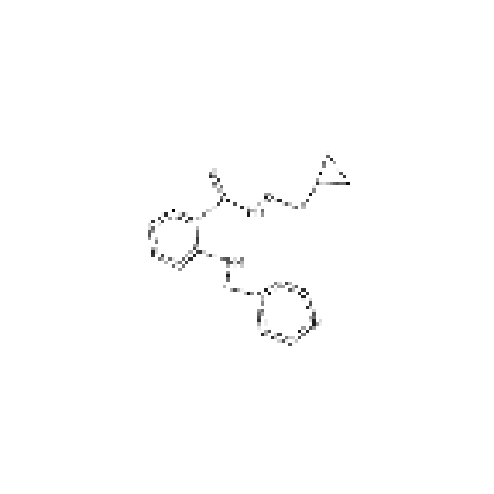 O=C(NOCC1CC1)c1ccccc1NCc1ccncc1